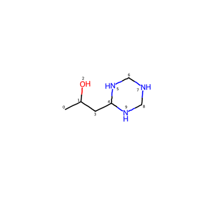 CC(O)CC1NCNCN1